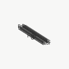 BrC(Br)(Br)C(Br)(Br)C(Br)(Br)C(Br)(Br)C(Br)(Br)C(Br)(Br)C(Br)(Br)C(Br)(Br)C(Br)(Br)C(Br)(Br)C(Br)(Br)C(Br)(Br)C(Br)(Br)C(Br)(Br)C(Br)(Br)C(Br)(Br)C(Br)(Br)C(Br)(Br)C(Br)(Br)C(Br)(Br)C(Br)(Br)C(Br)(Br)C(Br)(Br)C(Br)(Br)Br.O=[SH](=O)O